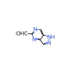 O=[C]c1ncc2[nH]ncc2n1